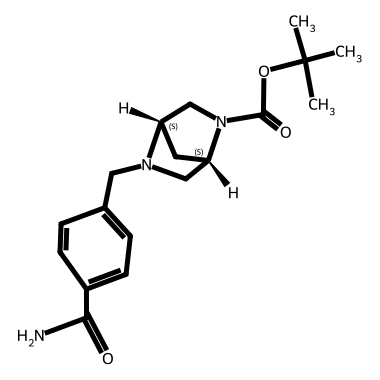 CC(C)(C)OC(=O)N1C[C@@H]2C[C@H]1CN2Cc1ccc(C(N)=O)cc1